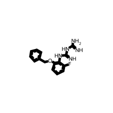 N=C(N)NC(=N)Nc1c(F)cccc1OCc1ccccc1